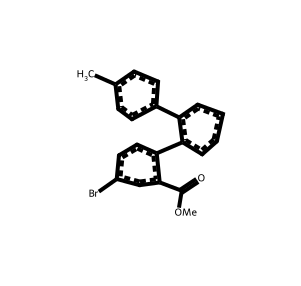 COC(=O)c1cc(Br)ccc1-c1ccccc1-c1ccc(C)cc1